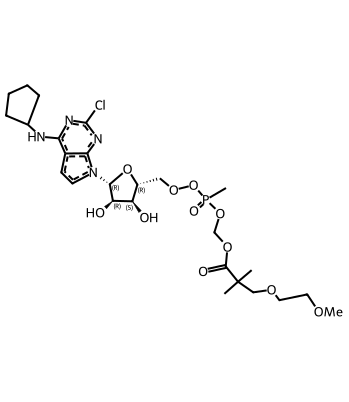 COCCOCC(C)(C)C(=O)OCOP(C)(=O)OOC[C@H]1O[C@@H](n2ccc3c(NC4CCCC4)nc(Cl)nc32)[C@H](O)[C@@H]1O